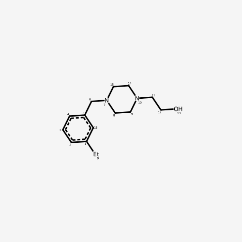 CCc1cccc(CN2CCN(CCO)CC2)c1